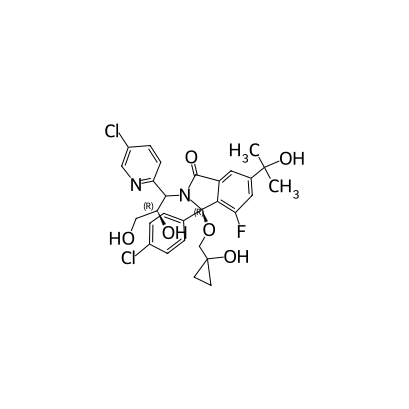 CC(C)(O)c1cc(F)c2c(c1)C(=O)N(C(c1ccc(Cl)cn1)[C@@H](O)CO)[C@@]2(OCC1(O)CC1)c1ccc(Cl)cc1